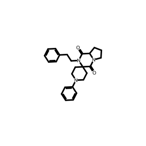 O=C1C2CCCN2C(=O)C2(CCN(c3ccccc3)CC2)N1CCc1ccccc1